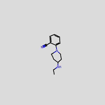 CCNC1CCN(c2ccccc2C#N)CC1